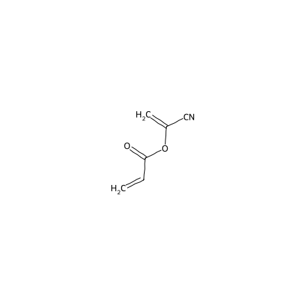 C=CC(=O)OC(=C)C#N